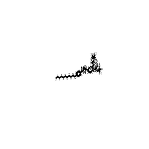 CCCCCCCCCCCc1ccc(-c2noc([C@@H]3CCCN(C(=NC(=O)OC(C)(C)C)NC(=O)OC(C)(C)C)C3)n2)cc1